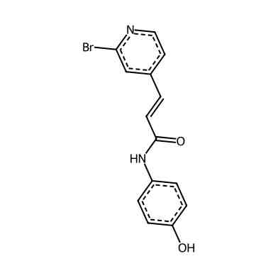 O=C(/C=C/c1ccnc(Br)c1)Nc1ccc(O)cc1